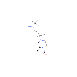 CN(CCC(C)(C)N1CCN2C(=O)OCC2C1)C(C)(C)C